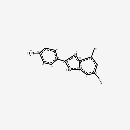 Cc1cc(Cl)cc2[nH]c(-c3ccc(N)cc3)nc12